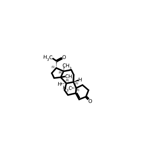 CC(=O)[C@H]1CCC2(C)[C@@H]3CCC4=CC(=O)CC[C@]4(C)[C@H]3CC[C@]12C